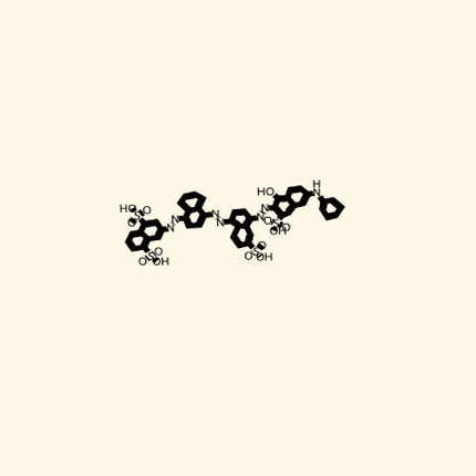 O=S(=O)(O)c1ccc2c(N=Nc3ccc(N=Nc4cc(S(=O)(=O)O)c5cccc(S(=O)(=O)O)c5c4)c4ccccc34)ccc(N=Nc3c(S(=O)(=O)O)cc4cc(Nc5ccccc5)ccc4c3O)c2c1